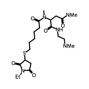 CCN1C(=O)CC(SCCCCCC(=O)N(C)C(CC(=O)NC)C(=O)NCCNC)C1=O